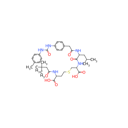 Cc1ccc(NC(=O)Nc2ccc(CC(=O)NC(CC(C)C)C(=O)NC(CSCCC(NC(=O)CC(C)(C)C)C(=O)O)C(=O)O)cc2)cc1